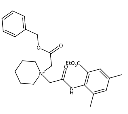 CCOC(=O)c1cc(C)cc(C)c1NC(=O)C[N+]1(CC(=O)OCc2ccccc2)CCCCC1